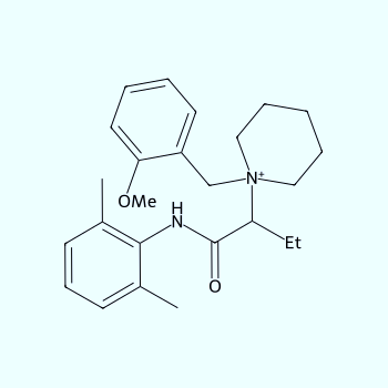 CCC(C(=O)Nc1c(C)cccc1C)[N+]1(Cc2ccccc2OC)CCCCC1